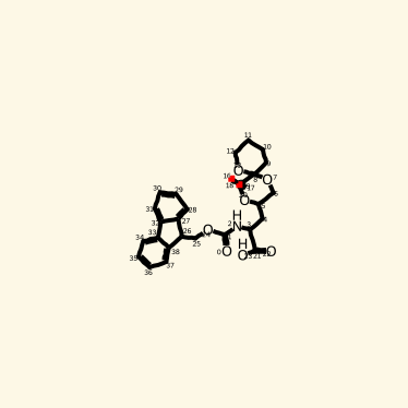 O=C(NC(CC1COC2(CCCCO2)C2(CCCCO2)O1)C(=O)O)OCC1c2ccccc2-c2ccccc21